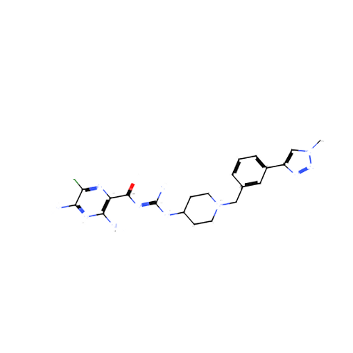 Cn1cc(-c2cccc(CN3CCC(N/C(N)=N/C(=O)c4nc(Cl)c(N)nc4N)CC3)c2)nn1